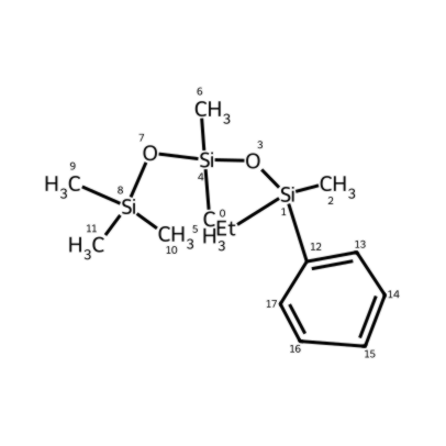 CC[Si](C)(O[Si](C)(C)O[Si](C)(C)C)c1ccccc1